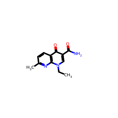 CCn1cc(C(N)=O)c(=O)c2ccc(C)nc21